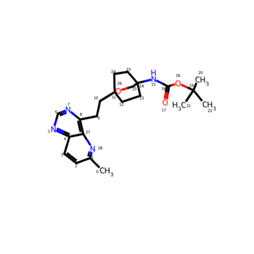 Cc1ccc2ncnc(CCC34CCC(NC(=O)OC(C)(C)C)(CC3)CO4)c2n1